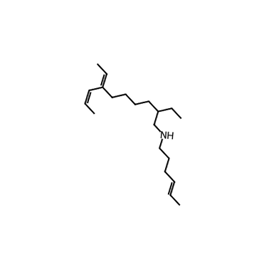 C/C=C\C(=C/C)CCCCC(CC)CNCCC/C=C/C